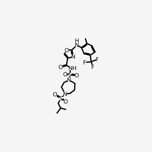 Cc1ccc(C(F)(F)F)cc1Nc1nc(C(=O)NS(=O)(=O)N2CCCN(S(=O)(=O)CC(C)C)CC2)co1